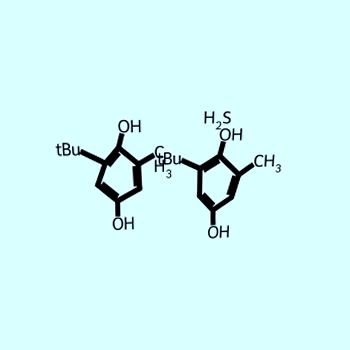 Cc1cc(O)cc(C(C)(C)C)c1O.Cc1cc(O)cc(C(C)(C)C)c1O.S